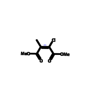 COC(=O)/C(C)=C(/Cl)C(=O)OC